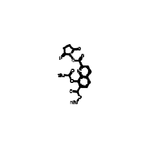 CCCCOC(=O)c1ccc2ccc(C(=O)ON3C(=O)CCC3=O)nc2c1OC(=O)C(C)(C)C